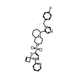 C/C=C(\S[C@@]1(Nc2ccccn2)C=CC1)S(=O)(=O)N1CCN2C(CCCC2c2cncn2[C@H](C)c2ccc(F)cc2)C1